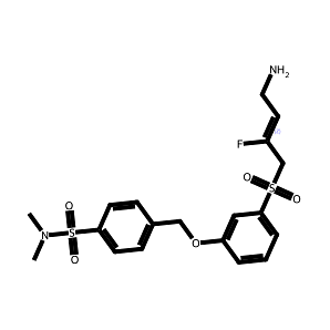 CN(C)S(=O)(=O)c1ccc(COc2cccc(S(=O)(=O)C/C(F)=C/CN)c2)cc1